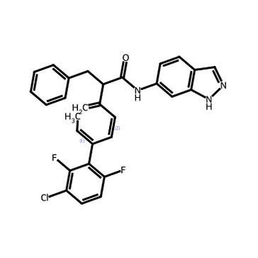 C=C(/C=C\C(=C/C)c1c(F)ccc(Cl)c1F)C(Cc1ccccc1)C(=O)Nc1ccc2cn[nH]c2c1